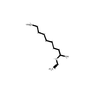 C=COC(O)CCCCCCCCCCCCCC